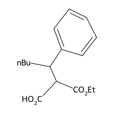 CCCCC(c1ccccc1)C(C(=O)O)C(=O)OCC